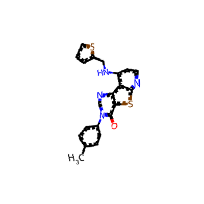 Cc1ccc(-n2cnc3c(sc4nccc(NCc5cccs5)c43)c2=O)cc1